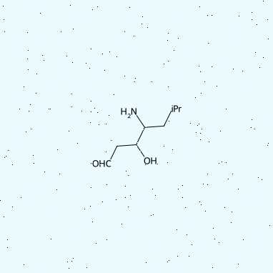 CC(C)CC(N)C(O)C[C]=O